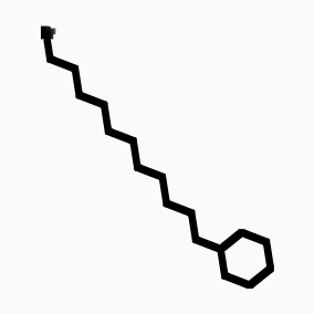 BrCCCCCCCCCCCC1CCCCC1